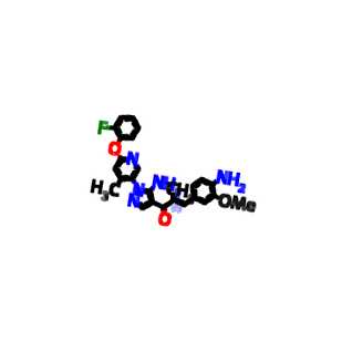 COc1cc(/C=C(\C)C(=O)c2cnn(-c3cnc(Oc4ccccc4F)cc3C)c2N)ccc1N